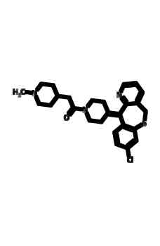 CN1CCC(CC(=O)N2CCC(=C3c4ccc(Cl)cc4SCc4cccnc43)CC2)CC1